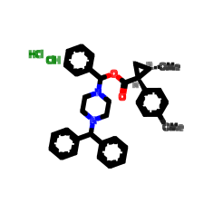 COc1ccc([C@@]2(C(=O)OC(c3ccccc3)N3CCN(C(c4ccccc4)c4ccccc4)CC3)C[C@@H]2OC)cc1.Cl.Cl